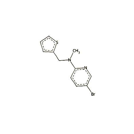 CN(Cc1cccs1)c1ccc(Br)cn1